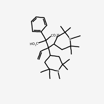 C=CC(C1CC(C)(C)N(C)C(C)(C)C1)(C1CC(C)(C)N(C)C(C)(C)C1)C(C(=O)O)(C(=O)O)c1ccccc1